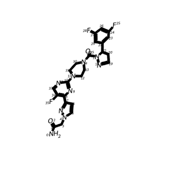 NC(=O)Cn1ccc(-c2nc(N3CCN(C(=O)N4N=CCC4c4cc(F)cc(F)c4)CC3)ncc2F)n1